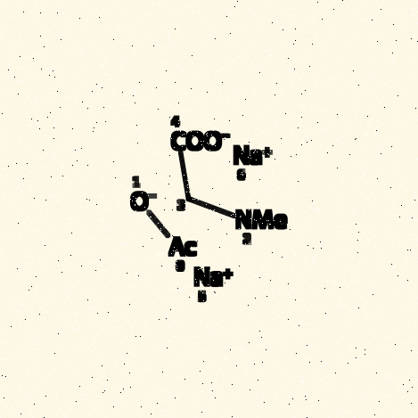 CC(=O)[O-].CNCC(=O)[O-].[Na+].[Na+]